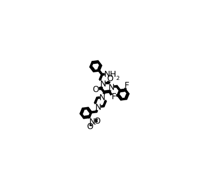 Cc1c(N2CCN(Cc3ccccc3[N+](=O)[O-])CC2)c(=O)n(CC(N)c2ccccc2)c(=O)n1Cc1c(F)cccc1F